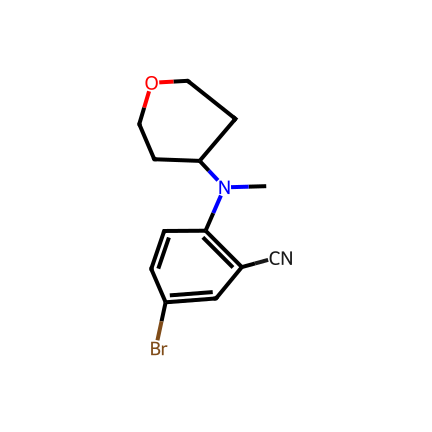 CN(c1ccc(Br)cc1C#N)C1CCOCC1